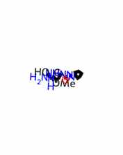 COC(CNC(=N)N)C[C@H](NC(=O)N=Nc1ccccc1)C(=O)O